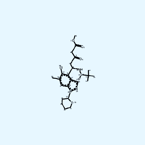 COC(=O)CC(=O)CC(N[S+]([O-])C(C)(C)C)c1c(Cl)c(C)cc2c1cnn2C1CCCCO1